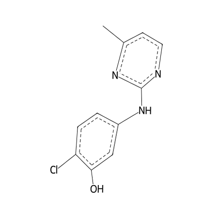 Cc1ccnc(Nc2ccc(Cl)c(O)c2)n1